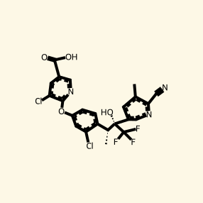 Cc1cc([C@](O)([C@H](C)c2ccc(Oc3ncc(C(=O)O)cc3Cl)cc2Cl)C(F)(F)F)cnc1C#N